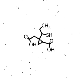 CCC(S)C1(CC(=O)O)CC1C(=O)O